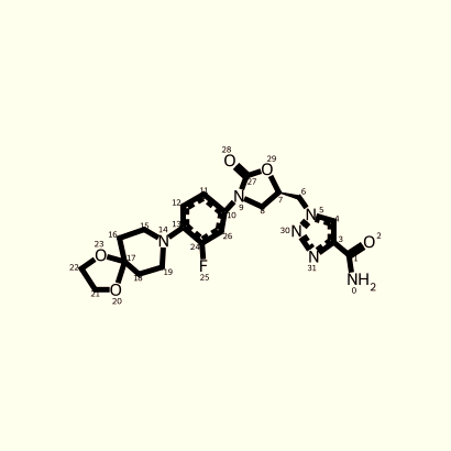 NC(=O)c1cn(C[C@H]2CN(c3ccc(N4CCC5(CC4)OCCO5)c(F)c3)C(=O)O2)nn1